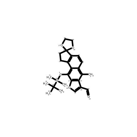 Cc1c2ccc3c(c2c(O[Si](C)(C)C(C)(C)C)c2occ(C=O)c12)CCC31OCCO1